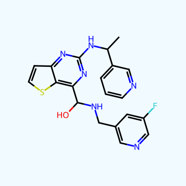 CC(Nc1nc(C(O)NCc2cncc(F)c2)c2sccc2n1)c1cccnc1